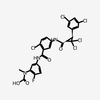 CN(C(=O)O)c1cc(NC(=O)c2cc(NC(=O)[C@@H]3[C@@H](c4cc(Cl)cc(Cl)c4)C3(Cl)Cl)ccc2Cl)ccc1F